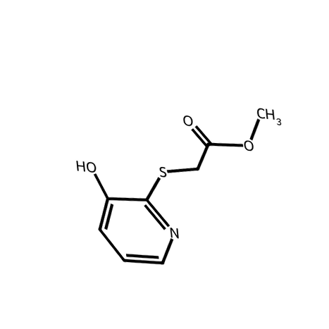 COC(=O)CSc1ncccc1O